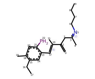 C=C(C/C(C)=N\CCCC)/C(C)=C/c1cc(CC)c(C)cc1P